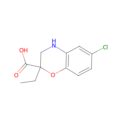 CCC1(C(=O)O)CNc2cc(Cl)ccc2O1